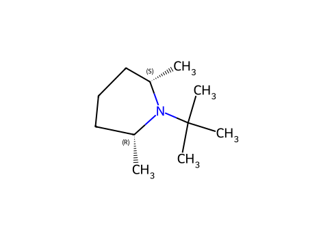 C[C@@H]1CCC[C@H](C)N1C(C)(C)C